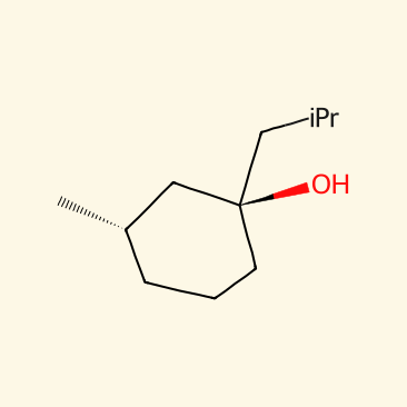 CC(C)C[C@]1(O)CCC[C@H](C)C1